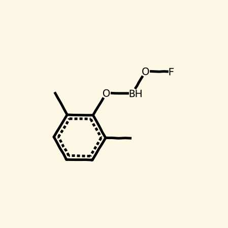 Cc1cccc(C)c1OBOF